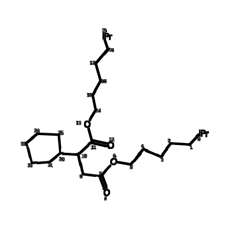 CC(C)CCCCCOC(=O)CC(C(=O)OCCCCCC(C)C)C1CCCCC1